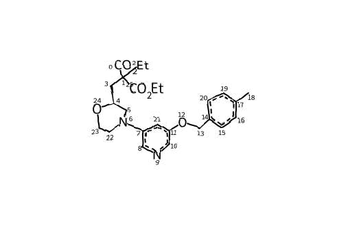 CCOC(=O)C(C)(C[C@H]1CN(c2cncc(OCc3ccc(C)cc3)c2)CCO1)C(=O)OCC